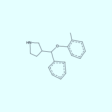 Cc1ccccc1OC(c1ccccc1)C1CCNC1